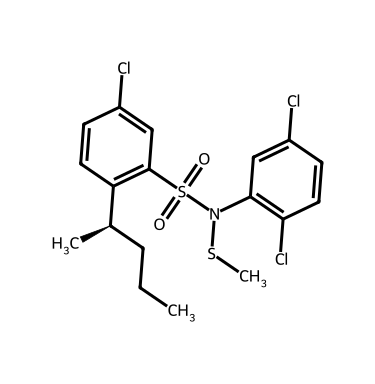 CCC[C@@H](C)c1ccc(Cl)cc1S(=O)(=O)N(SC)c1cc(Cl)ccc1Cl